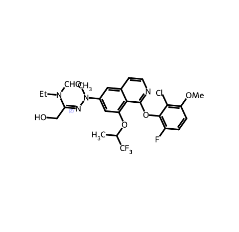 CCN(C=O)/C(CO)=N\N(C)c1cc(OC(C)C(F)(F)F)c2c(Oc3c(F)ccc(OC)c3Cl)nccc2c1